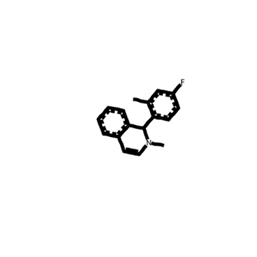 Cc1cc(F)ccc1C1c2ccccc2C=CN1C